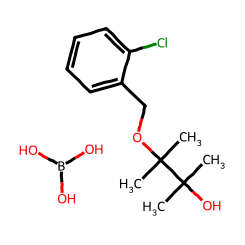 CC(C)(O)C(C)(C)OCc1ccccc1Cl.OB(O)O